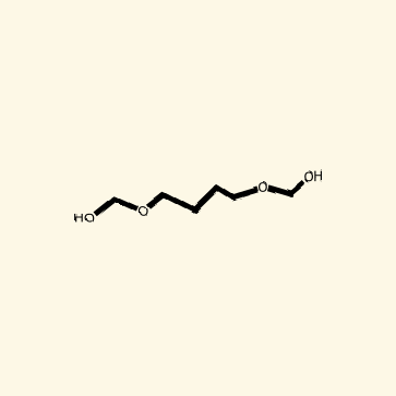 OCOCCCCOCO